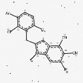 CC(=O)c1ccc(Cl)c(Cc2cc3c(C#N)c(C#N)c(Br)cc3n2C)c1Cl